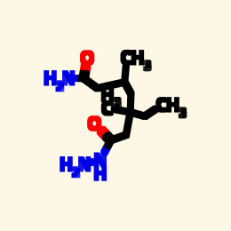 CCC(C)(CC(=O)NN)CC(C)CC(N)=O